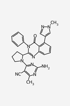 Cc1nc(N)nc(N2CCCC2c2nc3cccc(-c4cnn(C)c4)c3c(=O)n2-c2ccccc2)c1C#N